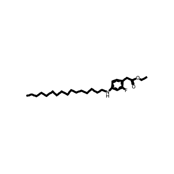 CCCCCCCCCCCCCCCCNc1ccc(CC(=O)OCC)c(F)c1